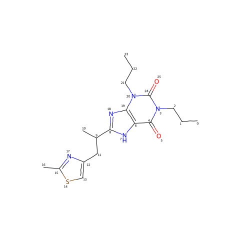 CCCn1c(=O)c2[nH]c(C(C)Cc3csc(C)n3)nc2n(CCC)c1=O